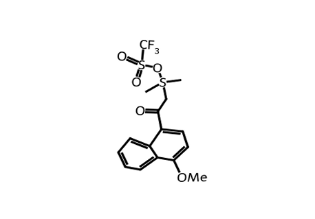 COc1ccc(C(=O)CS(C)(C)OS(=O)(=O)C(F)(F)F)c2ccccc12